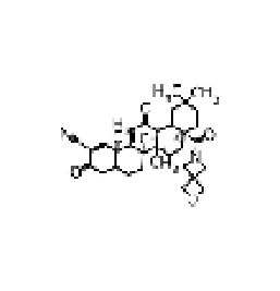 CC1(C)CC[C@]2(C(=O)N3CC4(COC4)C3)CCC3(C)C(C(=O)C=C4C5(C)C=C(C#N)C(=O)CC5CCC43C)C2C1